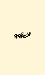 O=C(Nc1ccc2c(c1)CCN(C1CCC1)CC2)c1ccc(-c2cccnc2)nc1